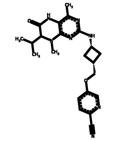 Cc1nc(N[C@H]2C[C@@H](COc3ccc(C#N)nc3)C2)nc2c1NC(=O)C(C(C)C)N2C